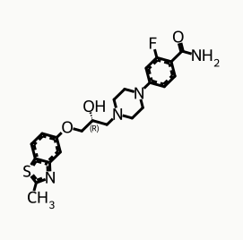 Cc1nc2cc(OC[C@H](O)CN3CCN(c4ccc(C(N)=O)c(F)c4)CC3)ccc2s1